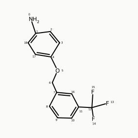 Nc1ccc(OCc2cccc(C(F)(F)F)c2)cc1